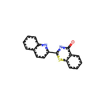 O=c1nc(-c2ccc3ccccc3n2)sc2ccccc12